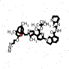 Cc1c(-c2ccc(N3CCc4cccc(C(=O)Nc5nc6cccnc6s5)c4C3)nc2C(=O)OC(C)(C)C)cnn1CC12CC3(C)CC(C)(C1)CC(OCCN=[N+]=[N-])(C3)C2